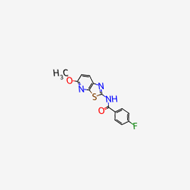 COc1ccc2nc(NC(=O)c3ccc(F)cc3)sc2n1